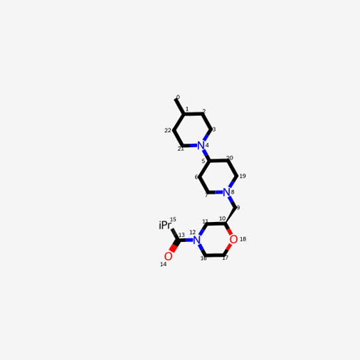 CC1CCN(C2CCN(C[C@@H]3CN(C(=O)C(C)C)CCO3)CC2)CC1